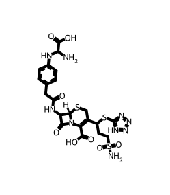 NC(Nc1ccc(CC(=O)NC2C(=O)N3C(C(=O)O)=C(C(CCS(N)(=O)=O)Sc4nnn[nH]4)CS[C@@H]23)cc1)C(=O)O